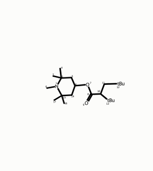 CN1C(C)(C)CC(OC(=O)C(CC(C)(C)C)C(C)(C)C)CC1(C)C